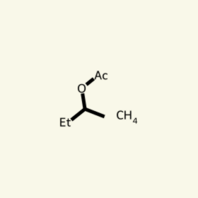 C.CCC(C)OC(C)=O